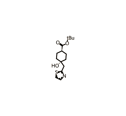 CC(C)(C)OC(=O)[C@H]1CC[C@@](O)(Cc2nccs2)CC1